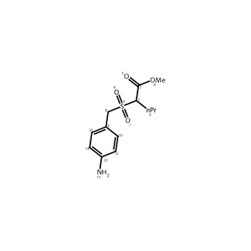 CCCC(C(=O)OC)S(=O)(=O)Cc1ccc(N)cc1